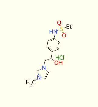 CCS(=O)(=O)Nc1ccc(C(O)CN2C=CN(C)C2)cc1.Cl